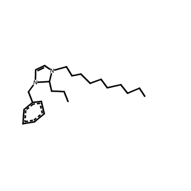 CCCCCCCCCCN1C=CN(Cc2ccccc2)C1CCC